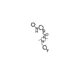 CC1CN(C(=O)COc2cccc(Nc3ccccc3)c2)C(C)CN1Cc1ccc(F)cc1